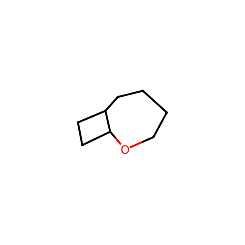 C1CCC2CCC2OC1